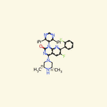 CC(C)c1ncnc(C(C)C)c1-n1c(=O)nc(N2C[C@@H](C)N[C@@H](C)C2)c2cc(F)c(-c3ccccc3F)nc21